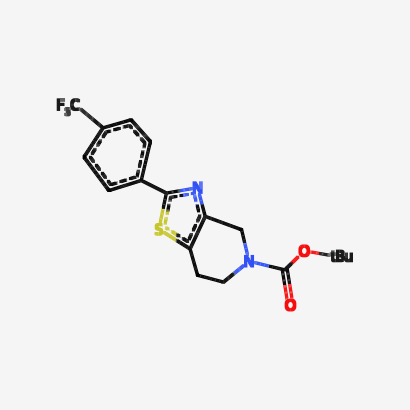 CC(C)(C)OC(=O)N1CCc2sc(-c3ccc(C(F)(F)F)cc3)nc2C1